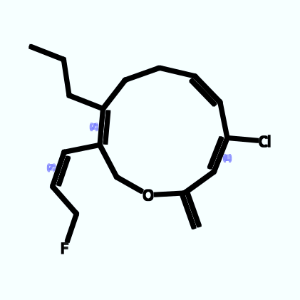 C=C1/C=C(/Cl)C=CCC/C(CCC)=C(/C=C\CF)CO1